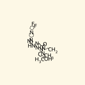 C=CCn1c(=O)c2cnc(Nc3cnn(C4CCN(C5CCC(F)(F)C5)CC4)c3)nc2n1-c1cccc(C(C)(C)O)n1